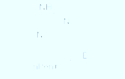 CCCCCC(C)(CC)c1cnc(N)nc1